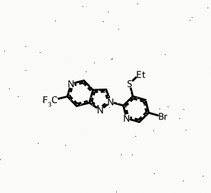 CCSc1cc(Br)cnc1-n1cc2cnc(C(F)(F)F)cc2n1